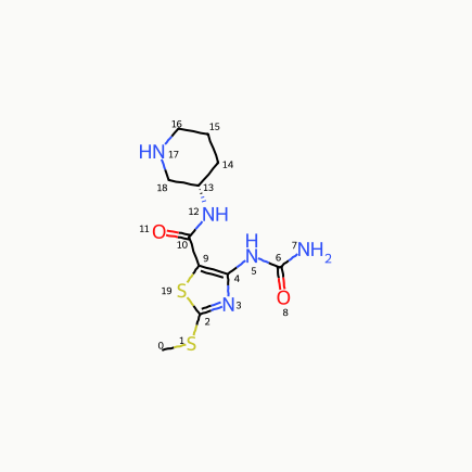 CSc1nc(NC(N)=O)c(C(=O)N[C@H]2CCCNC2)s1